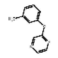 [CH2]c1cccc(Oc2cnccn2)c1